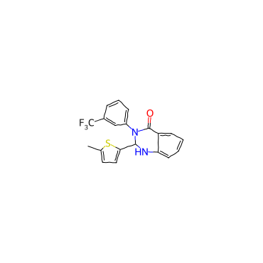 Cc1ccc(C2Nc3ccccc3C(=O)N2c2cccc(C(F)(F)F)c2)s1